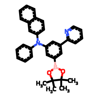 CC1(C)OB(c2cc(-c3ccccn3)cc(N(c3ccccc3)c3ccc4ccccc4c3)c2)OC1(C)C